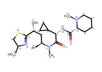 CC(=O)O[C@H](C[C@H](C(C)C)N(C)C(=O)[C@@H](NC(=O)[C@H]1CCCCN1C)C1CC1)C1=NC(C(=O)O)CS1